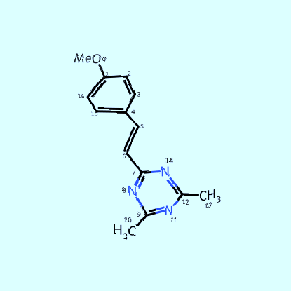 COc1ccc(/C=C/c2nc(C)nc(C)n2)cc1